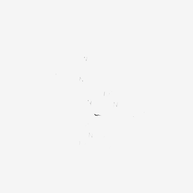 CN1CC2(CC2)C[C@H](C(=O)NO)[C@H]1C(=O)N1CCN(c2ncccc2C(F)(F)F)CC1